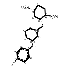 CN[C@@H]1CC[C@@H](NC)[C@H](CN2CCC[C@@H](Cc3ccc(F)cc3)C2)C1